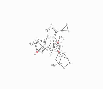 COC(=O)c1cc(C)nc(N2C3CC[C@H]2CC(OCc2c(-c4ccccc4C(F)(F)F)noc2C2CC2)C3)c1